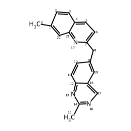 Cc1ccc2ccc(Cc3ccc4nc(C)ncc4c3)nc2c1